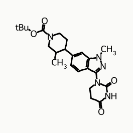 CC1CN(C(=O)OC(C)(C)C)CCC1c1ccc2c(N3CCC(=O)NC3=O)nn(C)c2c1